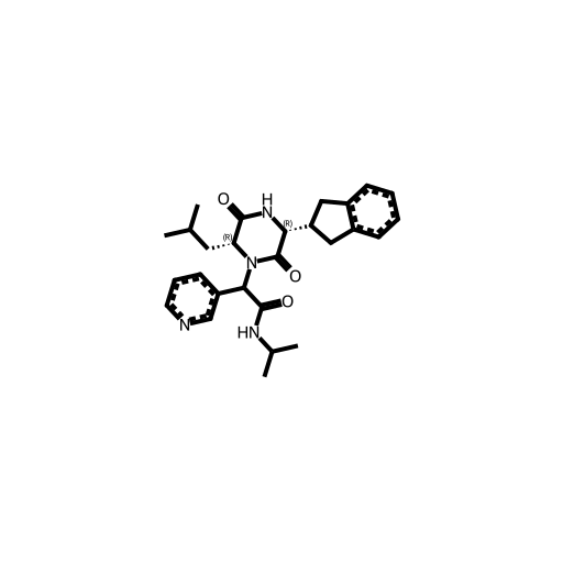 CC(C)C[C@@H]1C(=O)N[C@H](C2Cc3ccccc3C2)C(=O)N1C(C(=O)NC(C)C)c1cccnc1